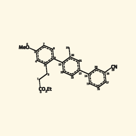 CCOC(=O)CCc1cc(OC)ccc1-c1ccc(-c2cccc(C#N)c2)cc1C